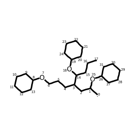 [CH2]C(CC(CCCOC1CCCCC1)C(CCC)OC1CCCCC1)OC1CCCCC1